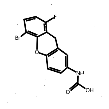 O=C(O)Nc1ccc2c(c1)Cc1c(F)ccc(Br)c1O2